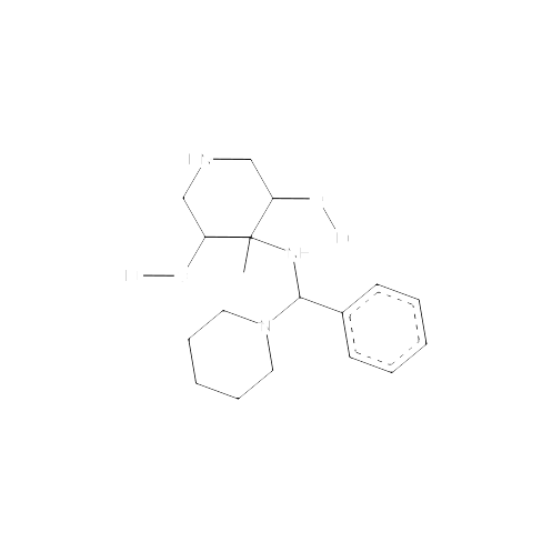 CCOC1CNCC(OCC)C1(I)NC(c1ccccc1)N1CC[CH]CC1